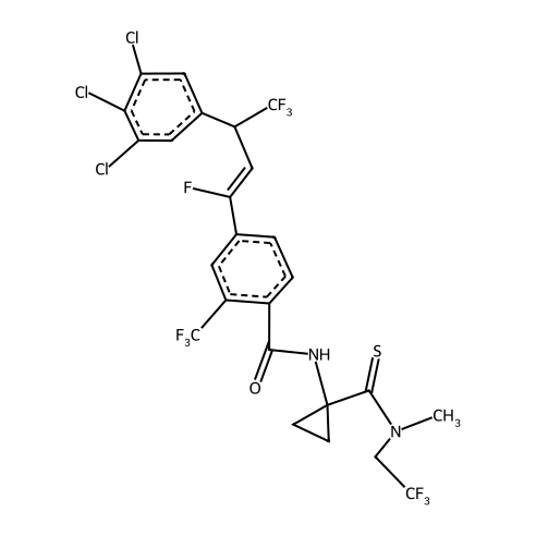 CN(CC(F)(F)F)C(=S)C1(NC(=O)c2ccc(/C(F)=C/C(c3cc(Cl)c(Cl)c(Cl)c3)C(F)(F)F)cc2C(F)(F)F)CC1